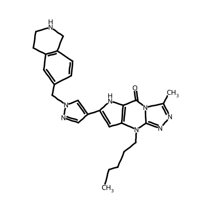 CCCCCn1c2cc(-c3cnn(Cc4ccc5c(c4)CCNC5)c3)[nH]c2c(=O)n2c(C)nnc12